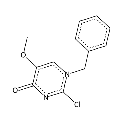 COc1cn(Cc2ccccc2)c(Cl)nc1=O